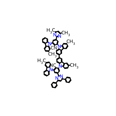 Cc1ccc2c(c1)c1ccccc1n2-c1cc(-c2nc(-c3ccccc3)cc(-c3ccccc3)n2)cc(-n2c3ccc(C)cc3c3cc(-c4ccc5c(c4)c4ccc(C)cc4n5-c4cc(-c5nc(C)cc(C)n5)cc(-n5c6ccccc6c6ccc(C)cc65)c4C#N)ccc32)c1C#N